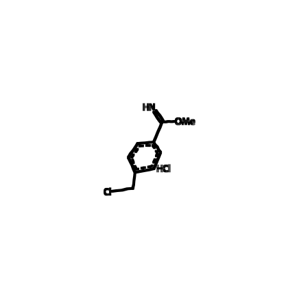 COC(=N)c1ccc(CCl)cc1.Cl